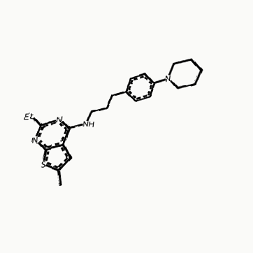 CCc1nc(NCCCc2ccc(N3CCCCC3)cc2)c2cc(C)sc2n1